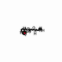 C[C@H]1[C@H](OC(=O)CCC(=O)NCCc2cnc[nH]2)O[C@@H]2O[C@@]3(C)CC[C@H]4[C@H](C)CC[C@@H]1[C@@]24OO3